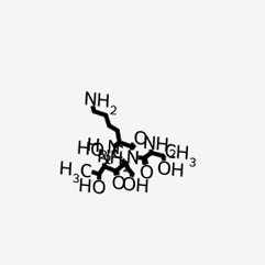 CC(O)C(N)C(=O)N(C(=O)C(N)CCCCN)C(CO)(C(=O)O)C(=O)C(N)C(C)O